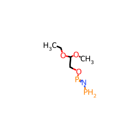 CCOC(COP=NP)OC